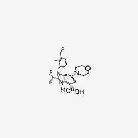 Cc1c(CF)cccc1Cn1c(C(F)F)nc2c(B(O)O)cc(N3CCOCC3)cc21